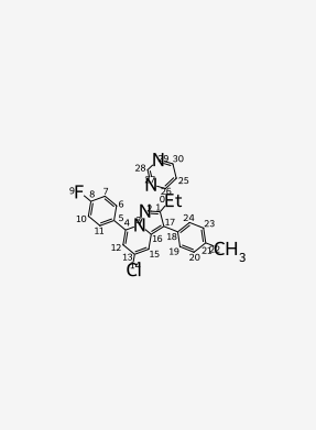 CCc1nn2c(-c3ccc(F)cc3)cc(Cl)cc2c1-c1ccc(C)cc1.c1cncnc1